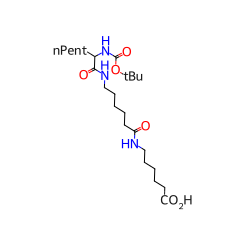 CCCCCC(NC(=O)OC(C)(C)C)C(=O)NCCCCCC(=O)NCCCCCC(=O)O